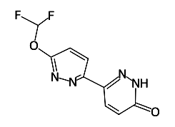 O=c1ccc(-c2ccc(OC(F)F)nn2)n[nH]1